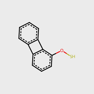 SOc1cccc2c1-c1ccccc1-2